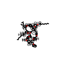 CCCCCCCC(=O)OC[C@H]1O[C@@H](Oc2c3cc4cc2Oc2ccc(cc2Cl)[C@@H](O)[C@@H](NC(=O)[C@H](CC)CC(C)C)C(=O)C[C@@H](CC(=O)NC(=O)NCCCCCC)C(=O)N[C@H]4C(=O)C[C@H]2C(=O)N[C@H](C(=O)N[C@H](C(=O)CC4C5CC6CC(C5)CC4C6)c4cc(O)cc(O)c4-c4cc2ccc4O)[C@H](O)c2ccc(c(Cl)c2)O3)[C@H](O)[C@@H](O)[C@@H]1O